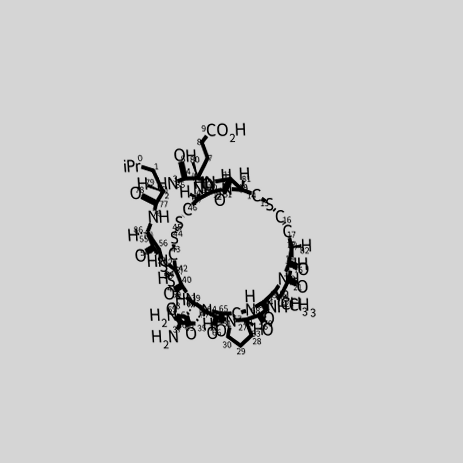 CC(C)C[C@@H]1NC(=O)[C@H](CCC(=O)O)NC(=O)[C@@H]2CSCC[C@@H]3NC(=O)[C@H](C)NC(=O)[C@@H]4CCCN4C(=O)[C@H](CC(N)=O)NC(=O)[C@H](CSSC[C@H](N)C(=O)N2)NC(=O)[C@H](CSSC[C@@H](C(N)=O)NC(=O)CNC(=O)[C@H](C)NC3=O)NC1=O